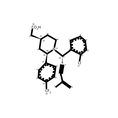 C=C(C)C#C[C@@H](c1ccccc1Cl)N1CC[C@H](CC(=O)O)C[C@@H]1c1ccc(C(F)(F)F)cc1